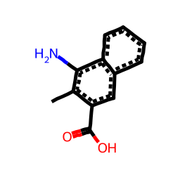 Cc1c(C(=O)O)cc2ccccc2c1N